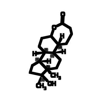 C[C@]1(O)CC[C@H]2[C@@H]3CCC4OC(=O)CCC[C@@H]4[C@H]3CC[C@@]21C